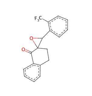 O=C1c2ccccc2CCC12OC2c1ccccc1C(F)(F)F